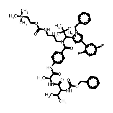 CC(NC(=O)C(NC(=O)OCc1ccccc1)C(C)C)C(=O)Nc1ccc(C(=O)N(CCCNC(=O)OCC[Si](C)(C)C)C(c2cc(-c3cc(F)ccc3F)cn2Cc2ccccc2)C(C)(C)C)cc1